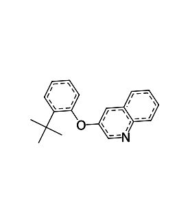 CC(C)(C)c1ccccc1Oc1cnc2ccccc2c1